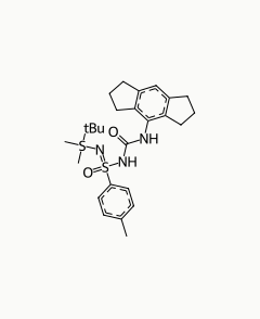 Cc1ccc(S(=O)(=NS(C)(C)C(C)(C)C)NC(=O)Nc2c3c(cc4c2CCC4)CCC3)cc1